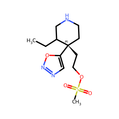 CCC1CNCC[C@]1(CCOS(C)(=O)=O)c1cnno1